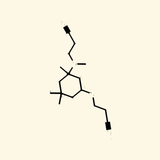 CN(CCC#N)C1(C)CC(NCCC#N)CC(C)(C)C1